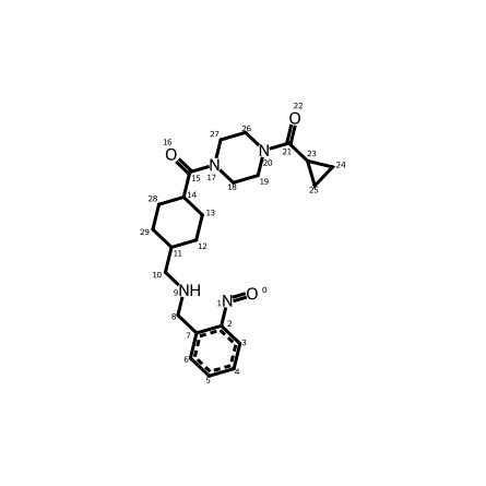 O=Nc1ccccc1CNCC1CCC(C(=O)N2CCN(C(=O)C3CC3)CC2)CC1